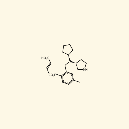 Cc1ccc(C)c(CN(C2CCCC2)[C@H]2CCNC2)c1.O=C(O)C=CC(=O)O